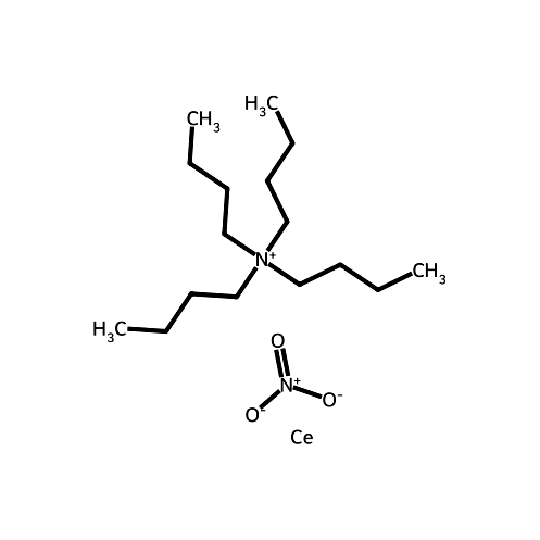 CCCC[N+](CCCC)(CCCC)CCCC.O=[N+]([O-])[O-].[Ce]